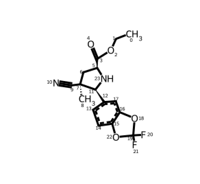 CCOC(=O)[C@@H]1C[C@](C)(C#N)[C@H](c2ccc3c(c2)OC(F)(F)O3)N1